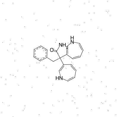 NC(=O)C(Cc1ccccc1)(C1=CNC=CC=C1)C1=CNC=CC=C1